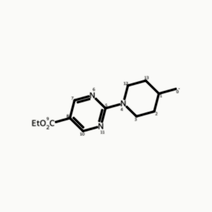 [CH2]C1CCN(c2ncc(C(=O)OCC)cn2)CC1